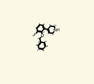 Fc1cccc(C2=CCNCC2)c1OCc1ccccc1